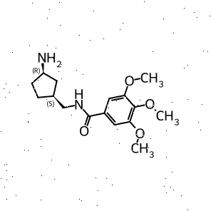 COc1cc(C(=O)NC[C@H]2CC[C@@H](N)C2)cc(OC)c1OC